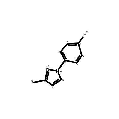 Cc1[c]cn(-c2ccc(F)cc2)n1